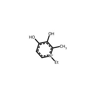 CC[n+]1ccc(O)c(O)c1C